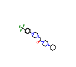 O=C(CN1CCN(c2ccc(C(F)(F)F)cc2)CC1)N1CCN(C2CCCCC2)CC1